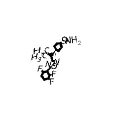 CC1(C)C(c2noc(-c3c(F)ccc(F)c3F)n2)[C@@H]1c1ccc(SN)cc1